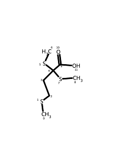 CSCCC(SC)(SC)C(=O)O